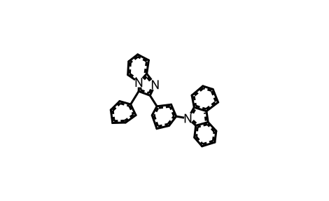 c1ccc(-c2c(-c3cccc(-n4c5ccccc5c5ccccc54)c3)nc3ccccn23)cc1